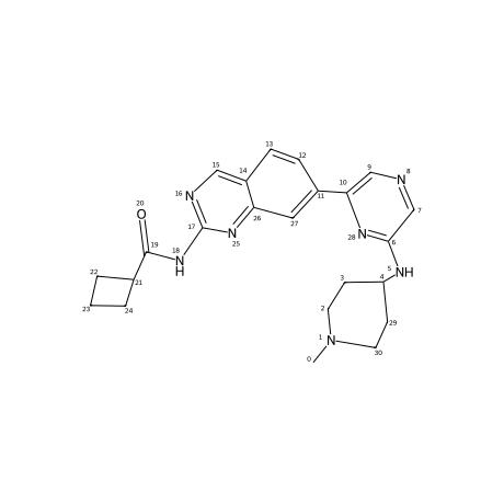 CN1CCC(Nc2cncc(-c3ccc4cnc(NC(=O)C5CCC5)nc4c3)n2)CC1